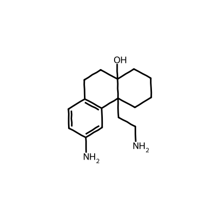 NCCC12CCCCC1(O)CCc1ccc(N)cc12